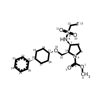 COC(=O)N1CC[C@H](NS(=O)(=O)CF)[C@@H]1CO[C@H]1CC[C@@H](c2ccccc2)CC1